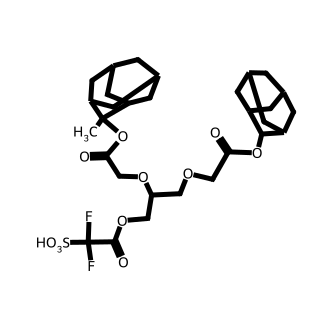 CC1(OC(=O)COC(COCC(=O)OC2C3CC4CC(C3)CC2C4)COC(=O)C(F)(F)S(=O)(=O)O)C2CC3CC(C2)CC1C3